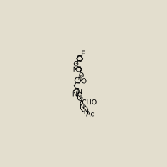 CC(=O)N1CCN(CC2(C=O)CN(c3ncc(CC4=CC(=O)[C@H](Oc5ccc(Oc6ccc(F)cc6)nc5)CC4)cn3)C2)CC1